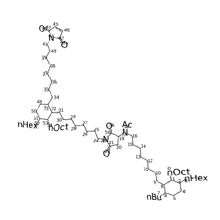 CCCCCCCCC1C(CCCCCC)CCC(CCCC)C1CCCCCCCCN(C(C)=O)C1CC(=O)N(CCCCCCCCC2C(CCCCCCCCN3C(=O)C=CC3=O)CCC(CCCCCC)C2CCCCCCCC)C1=O